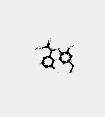 CCCc1cc(CBr)ccc1OC(C(=O)OC)c1cccc(Cl)c1